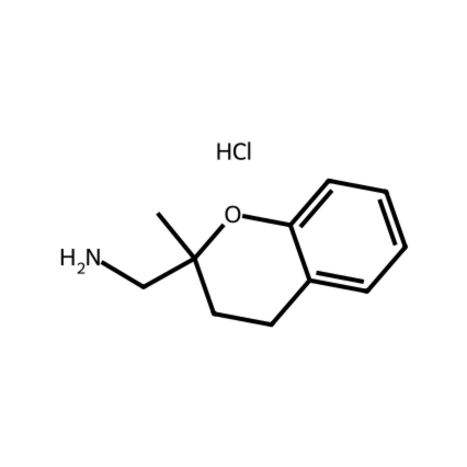 CC1(CN)CCc2ccccc2O1.Cl